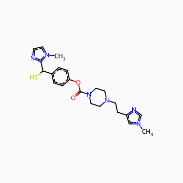 Cn1cnc(CCN2CCN(C(=O)Oc3ccc(C(S)c4nccn4C)cc3)CC2)c1